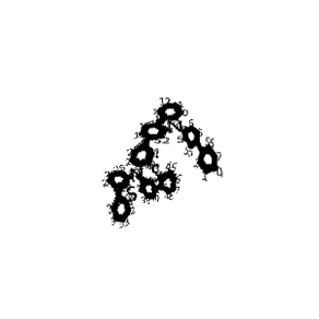 c1ccc(-c2ccc(-n3c4ccccc4c4ccc(-c5ccc(N(c6cccc7c6sc6ccccc67)c6cccc7c6sc6ccccc67)cc5)cc43)cc2)cc1